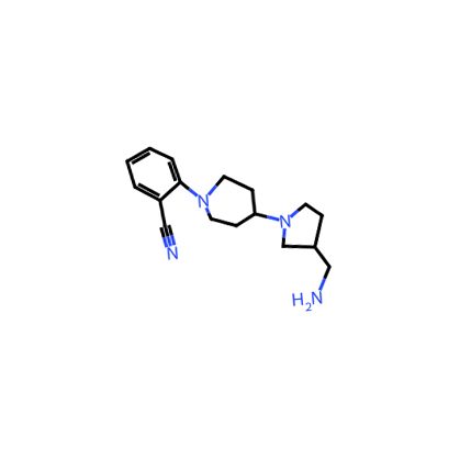 N#Cc1ccccc1N1CCC(N2CCC(CN)C2)CC1